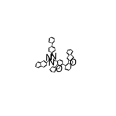 c1ccc(-c2ccc(-c3nc(-c4ccc5ccccc5c4)nc(-c4ccc(-c5cccc6oc7cc8ccccc8cc7c56)c5oc6ccccc6c45)n3)cc2)cc1